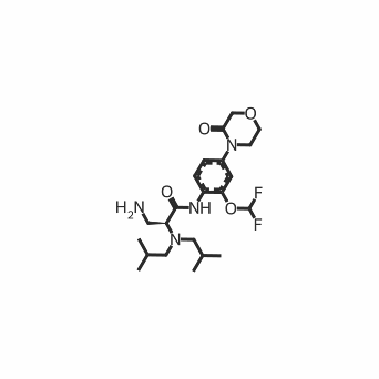 CC(C)CN(CC(C)C)[C@@H](CN)C(=O)Nc1ccc(N2CCOCC2=O)cc1OC(F)F